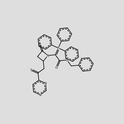 O=C(OCc1ccccc1)C(N1C(=O)CC1CC(=S)c1ccncn1)=P(c1ccccc1)(c1ccccc1)c1ccccc1